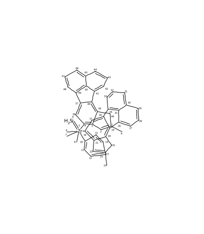 CC1=Cc2[c]([Zr]([CH3])([CH3])([CH3])(=[SiH2])([c]3ccccc3)[c]3cc4c(c5c3C=C(C)C5)-c3cccc5cccc-4c35)cc3c(c2C1)-c1cccc2cccc-3c12